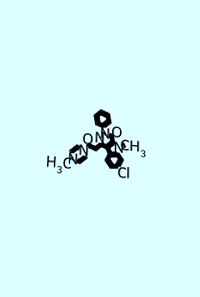 CN1CCN(C(=O)Cc2nn(-c3ccccc3)c(=O)c3c2c2ccc(Cl)cc2n3C)CC1